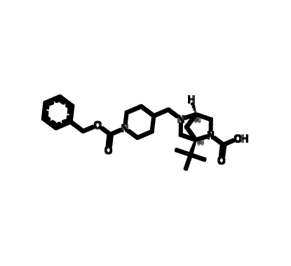 CC(C)(C)[C@@]12C[C@H](CN1C(=O)O)N(CC1CCN(C(=O)OCc3ccccc3)CC1)C2